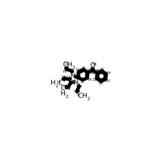 C=CCN(CC=C)C1(N(CC=C)CC=C)C=CC(C(=O)c2ccccc2)=CC1